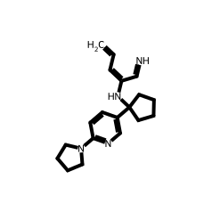 C=C/C=C(\C=N)NC1(c2ccc(N3CCCC3)nc2)CCCC1